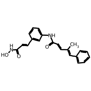 CC(/C=C/C(=O)Nc1cccc(/C=C/C(=O)NO)c1)=C\c1ccccc1